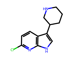 Clc1ccc2c(C3CCCNC3)c[nH]c2n1